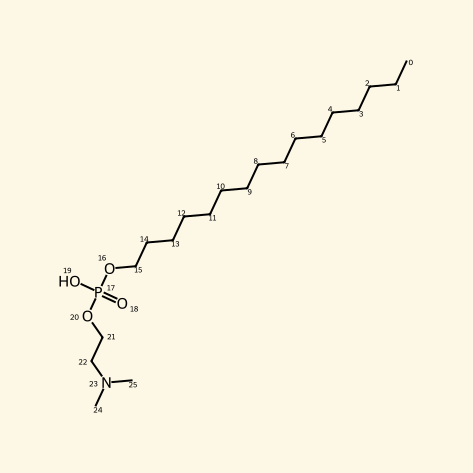 CCCCCCCCCCCCCCCCOP(=O)(O)OCCN(C)C